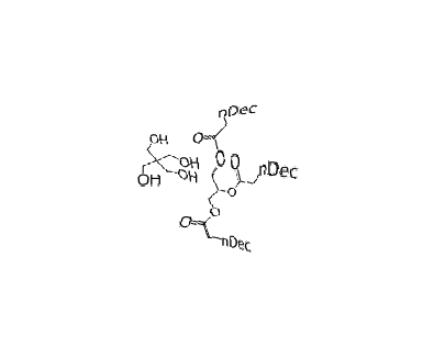 CCCCCCCCCCCC(=O)OCC(COC(=O)CCCCCCCCCCC)OC(=O)CCCCCCCCCCC.OCC(CO)(CO)CO